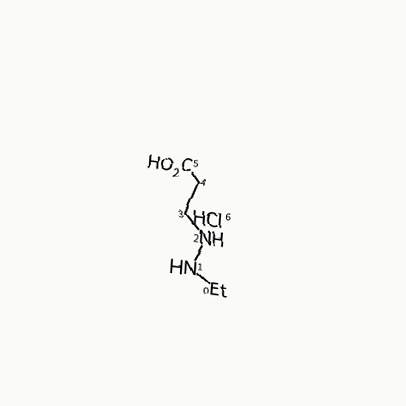 CCNNCCC(=O)O.Cl